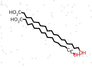 O=C(O)CCCCCCCCCCCCCCCCCO.O=C(O)CCCCCCCCCCCCCCCO